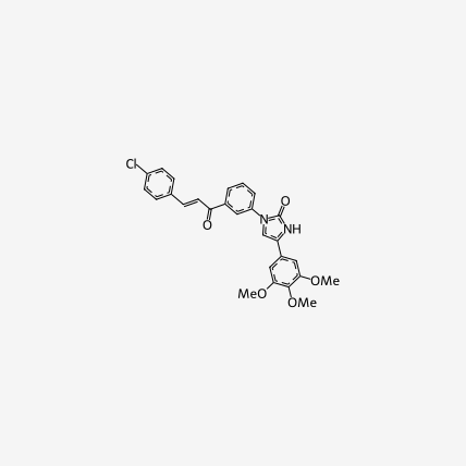 COc1cc(-c2cn(-c3cccc(C(=O)C=Cc4ccc(Cl)cc4)c3)c(=O)[nH]2)cc(OC)c1OC